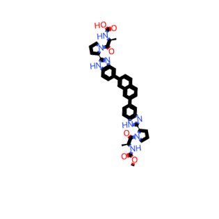 COC(=O)N[C@@H](C)C(=O)N1CCC[C@H]1c1nc2cc(-c3ccc4ccc(-c5ccc6[nH]c([C@@H]7CCCN7C(=O)[C@H](C)NC(=O)O)nc6c5)cc4c3)ccc2[nH]1